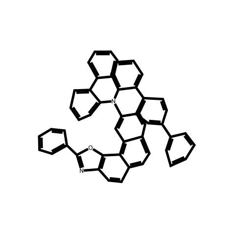 c1ccc(-c2ccc(-c3ccccc3N(c3ccc4ccc5ccc6nc(-c7ccccc7)oc6c5c4c3)c3ccccc3-c3ccccc3)cc2)cc1